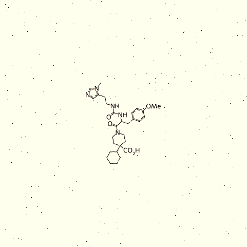 COc1ccc(CC(NC(=O)NCCc2cncn2C)C(=O)N2CCC(C(=O)O)(C3CCCCC3)CC2)cc1